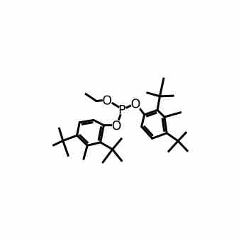 CCOP(Oc1ccc(C(C)(C)C)c(C)c1C(C)(C)C)Oc1ccc(C(C)(C)C)c(C)c1C(C)(C)C